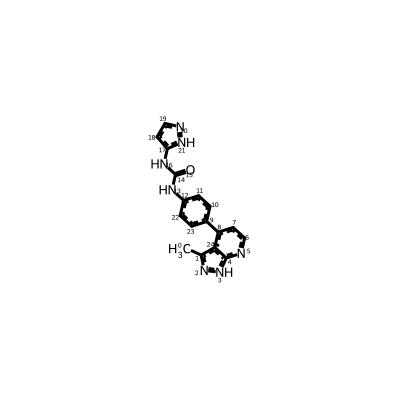 Cc1n[nH]c2nccc(-c3ccc(NC(=O)Nc4ccn[nH]4)cc3)c12